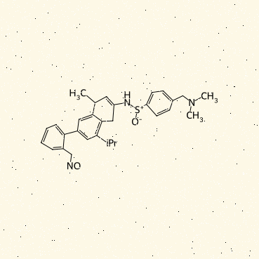 CC(C)c1cc(-c2ccccc2CN=O)cc2c1CC(N[S+]([O-])c1ccc(CN(C)C)cc1)=CC2C